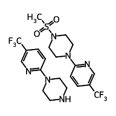 CS(=O)(=O)N1CCN(c2ccc(C(F)(F)F)cn2)CC1.FC(F)(F)c1ccc(N2CCNCC2)nc1